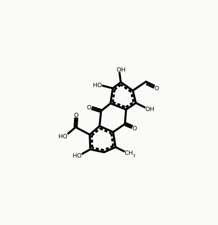 Cc1cc(O)c(C(=O)O)c2c1C(=O)c1c(O)c(C=O)c(O)c(O)c1C2=O